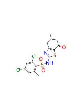 Cc1cc(Cl)cc(Cl)c1S(=O)(=O)Nc1nc2c(s1)C(=O)CC(C)C2